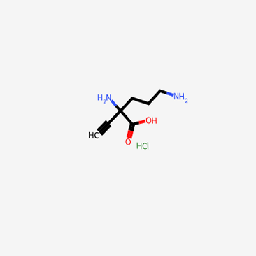 C#CC(N)(CCCN)C(=O)O.Cl